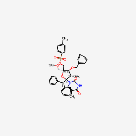 CC(=O)O[C@@H]1[C@H](OCc2ccccc2)[C@](COC(C)(C)C)(COS(=O)(=O)c2ccc(C)cc2)O[C@]1(n1cc(C)c(=O)[nH]c1=O)[SiH](c1ccccc1)c1ccccc1